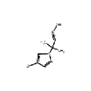 CC(C)(/C=N/O)n1cc(Cl)cn1